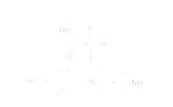 Brc1ccc(N2CC3(CNC3)C2)cc1.O=C(O)C(F)(F)F